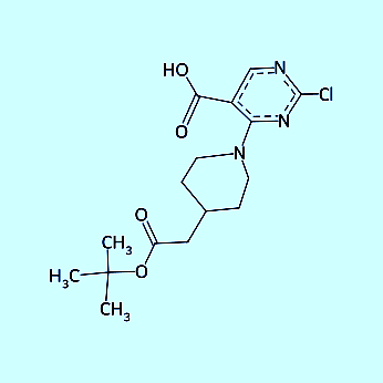 CC(C)(C)OC(=O)CC1CCN(c2nc(Cl)ncc2C(=O)O)CC1